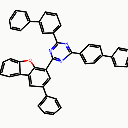 c1ccc(-c2ccc(-c3nc(-c4cccc(-c5ccccc5)c4)nc(-c4cc(-c5ccccc5)cc5c4oc4ccccc45)n3)cc2)cc1